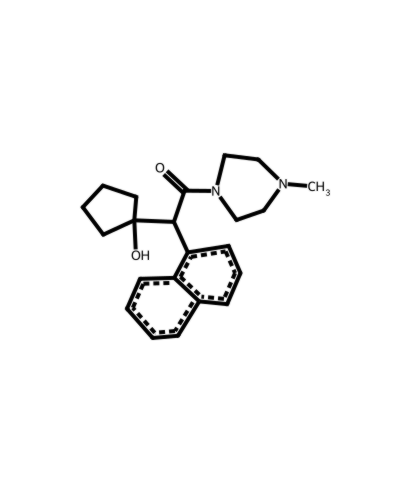 CN1CCN(C(=O)C(c2cccc3ccccc23)C2(O)CCCC2)CC1